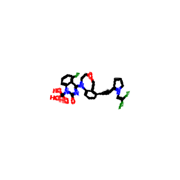 O=c1nc(N2CCOCc3c(C#CC4CCCN4CC(F)F)cccc32)c2c(F)cccc2n1C(O)(O)O